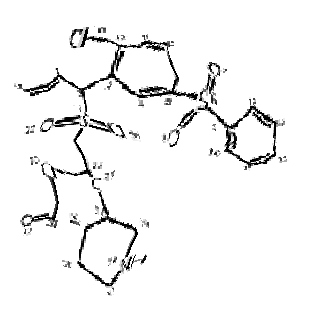 C=CC(c1cc(S(=O)(=O)c2ccccc2)ccc1Cl)S(=O)(=O)C(CC1CCCNC1)OC=O